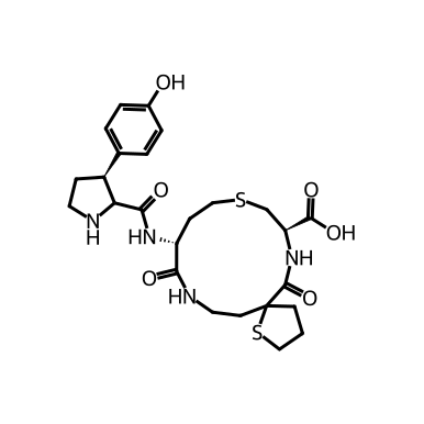 O=C(N[C@@H]1CCSC[C@@H](C(=O)O)NC(=O)C2(CCCS2)CCNC1=O)C1NCC[C@H]1c1ccc(O)cc1